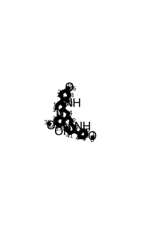 COc1ccc2c3c([nH]c2c1)C(CC(CC1=NCCc2c1[nH]c1cc(OC)ccc21)c1ccc(OC)c(O)c1)=NCC3